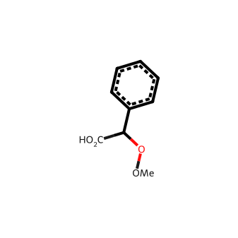 COOC(C(=O)O)c1ccccc1